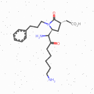 NCCCCCC(=O)C(N)[C@@H]1C[C@@H](CC(=O)O)C(=O)N1CCCc1ccccc1